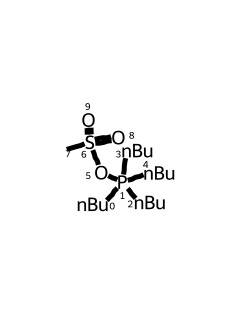 CCCCP(CCCC)(CCCC)(CCCC)OS(C)(=O)=O